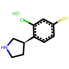 Cl.Sc1ccc([C@H]2CCNC2)c(Cl)c1